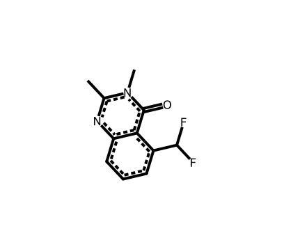 Cc1nc2cccc(C(F)F)c2c(=O)n1C